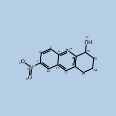 O=[N+]([O-])c1ccc2nc3c(cc2c1)CCCC3O